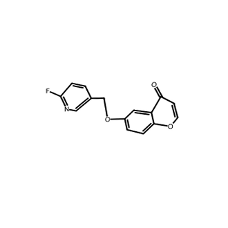 O=c1ccoc2ccc(OCc3ccc(F)nc3)cc12